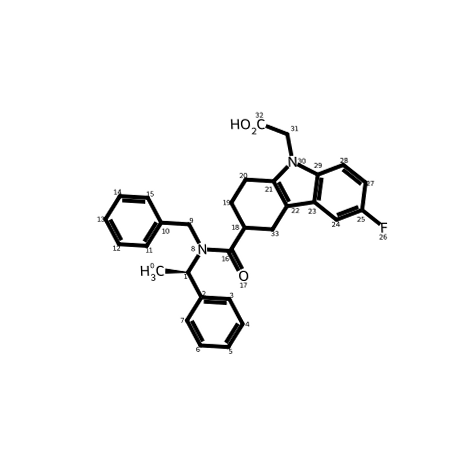 C[C@H](c1ccccc1)N(Cc1ccccc1)C(=O)C1CCc2c(c3cc(F)ccc3n2CC(=O)O)C1